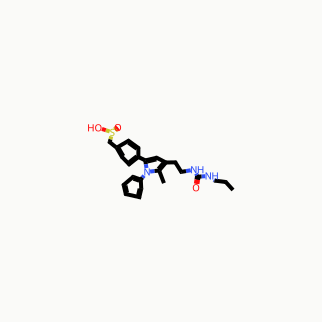 CCCNC(=O)NCCc1cc(-c2ccc(CS(=O)O)cc2)n(-c2ccccc2)c1C